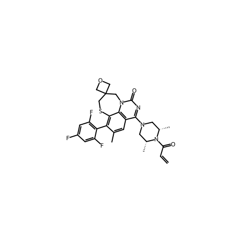 C=CC(=O)N1[C@H](C)CN(c2nc(=O)n3c4c(c(-c5c(F)cc(F)cc5F)c(C)cc24)SCC2(COC2)C3)C[C@@H]1C